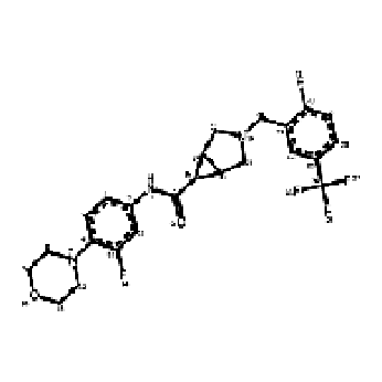 O=C(Nc1ccc(N2CCOCC2)c(F)c1)C1C2CN(Cc3cc(C(F)(F)F)ccc3F)CC21